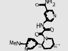 CNc1ccc([C@@H]2CC[C@@H](C)CN2C(=O)C(=O)Nc2cncc(C(N)=O)c2)cn1